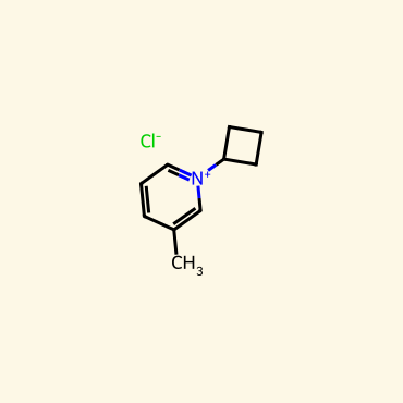 Cc1ccc[n+](C2CCC2)c1.[Cl-]